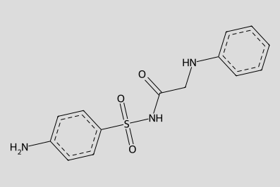 Nc1ccc(S(=O)(=O)NC(=O)CNc2ccccc2)cc1